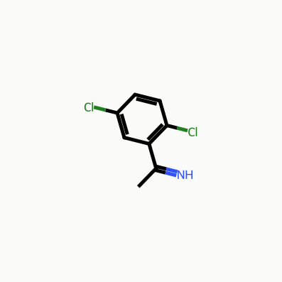 CC(=N)c1cc(Cl)ccc1Cl